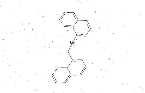 c1ccc2c([CH2][Mg][c]3cccc4ccccc34)cccc2c1